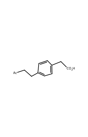 CC(=O)CCc1ccc(CC(=O)O)cc1